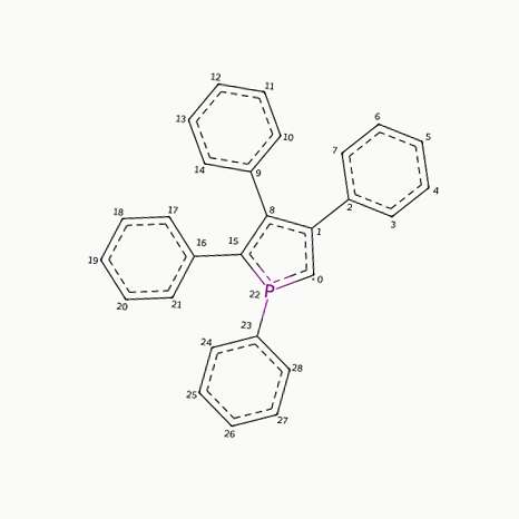 [c]1c(-c2ccccc2)c(-c2ccccc2)c(-c2ccccc2)p1-c1ccccc1